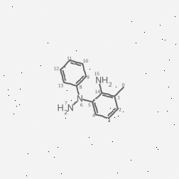 Cc1cccc(N(N)c2ccccc2)c1N